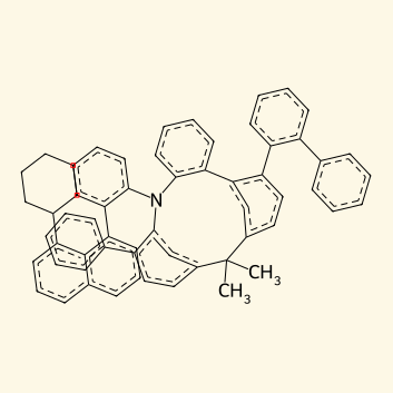 CC1(C)c2ccc(-c3ccccc3-c3ccccc3)c(c2)-c2ccccc2N(c2ccccc2-c2cccc3cccc(C4CCCCC4)c23)c2cc1ccc2-c1ccccc1